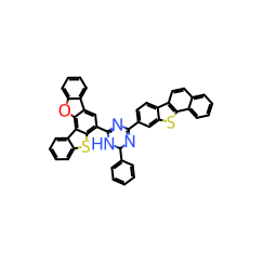 c1ccc(C2N=C(c3ccc4c(c3)sc3c5ccccc5ccc43)N=C(c3cc4c5ccccc5oc4c4c3sc3ccccc34)N2)cc1